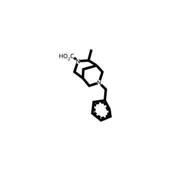 CC1C2CC(CN(Cc3ccccc3)C2)CN1C(=O)O